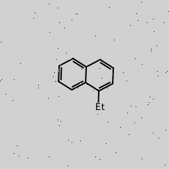 CCc1cccc2cc[c]cc12